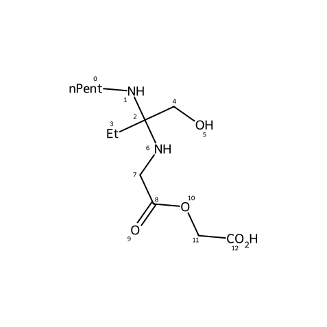 CCCCCNC(CC)(CO)NCC(=O)OCC(=O)O